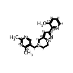 Cc1ncc(CN2CCn3nc(-c4ncccc4C)cc3C2)c(C)n1